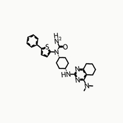 CN(C)c1nc(N[C@H]2CC[C@@H](N(C(N)=O)c3ccc(-c4ccccc4)s3)CC2)nc2c1CCCC2